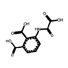 O=C(O)C(=O)Nc1cccc(C(=O)O)c1C(=O)O